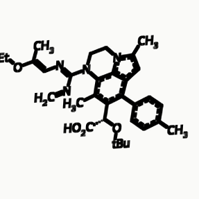 C=N/C(=N\C=C(/C)OCC)N1CCn2c(C)cc3c(-c4ccc(C)cc4)c([C@H](OC(C)(C)C)C(=O)O)c(C)c1c32